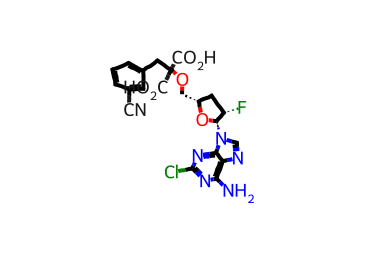 N#Cc1cccc(CC(OC[C@@H]2C[C@H](F)[C@H](n3cnc4c(N)nc(Cl)nc43)O2)(C(=O)O)C(=O)O)c1